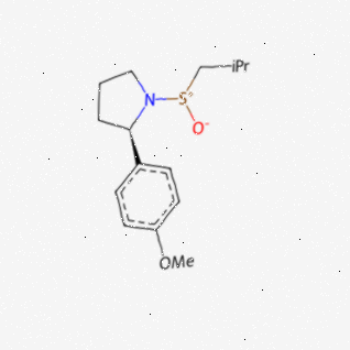 COc1ccc([C@H]2CCCN2[S+]([O-])CC(C)C)cc1